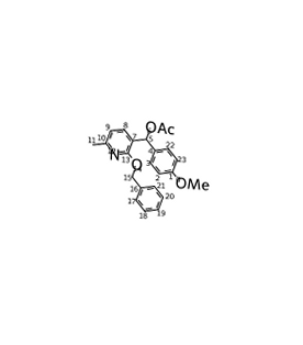 COc1ccc(C(OC(C)=O)c2ccc(C)nc2OCc2ccccc2)cc1